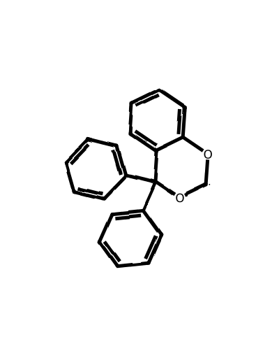 [CH]1Oc2ccccc2C(c2ccccc2)(c2ccccc2)O1